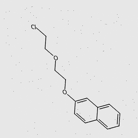 ClCCOCCOc1ccc2ccccc2c1